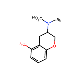 CC(C)(C)N(C(=O)O)C1COc2cccc(O)c2C1